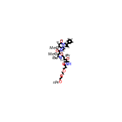 CCCOCCOCCOCCC(=O)NC(C)(C)C(=O)C[C@H](C(=O)N(C)[C@@H]([C@@H](C)CC)[C@@H](CC(=O)N1CCC[C@H]1[C@H](OC)[C@@H](C)C(=O)NCC1(c2ccccc2)CC1)OC)C(C)C